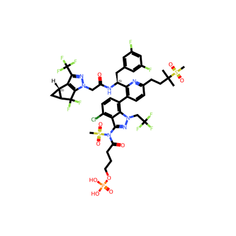 CC(C)(CCc1ccc(-c2ccc(Cl)c3c(N(C(=O)CCCOP(=O)(O)O)S(C)(=O)=O)nn(CC(F)(F)F)c23)c([C@H](Cc2cc(F)cc(F)c2)NC(=O)Cn2nc(C(F)(F)F)c3c2C(F)(F)C2C[C@H]32)n1)S(C)(=O)=O